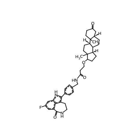 CC12CC[C@H]3C(CC[C@H]4CC(=O)CCC43C)[C@@H]1CCC2OCCC(=O)NCc1ccc(-c2[nH]c3cc(F)cc4c3c2CCNC4=O)cc1